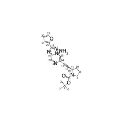 CC(C)(C)OC(=O)N1CCC[C@@H]1C#CC1=C[N+]2(N)N=C(c3ccco3)N=C2C=N1